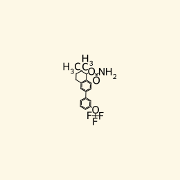 CC1(C)CCc2cc(-c3cccc(OC(F)(F)F)c3)ccc2C1OC(N)=O